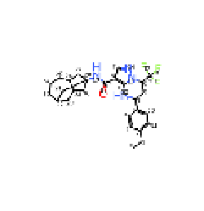 CCc1ccc(C2CC(C(F)(F)F)n3ncc(C(=O)NC45CC6CCCC(C4)C(C6)C5)c3N2)cc1